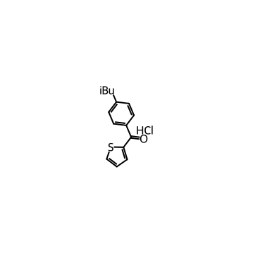 CCC(C)c1ccc(C(=O)c2cccs2)cc1.Cl